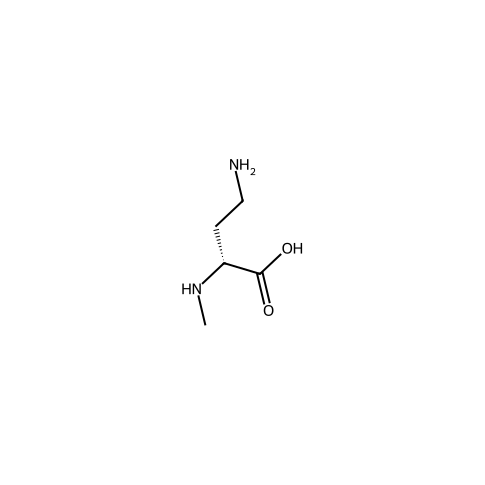 CN[C@H](CCN)C(=O)O